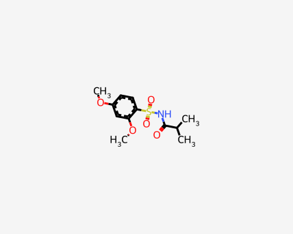 COc1ccc(S(=O)(=O)NC(=O)C(C)C)c(OC)c1